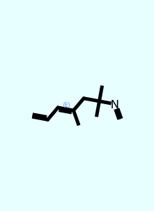 C=C/C=C(\C)CC(C)(C)N=C